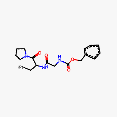 CC(C)CC(NC(=O)CNC(=O)OCc1ccccc1)C(=O)N1CCCC1